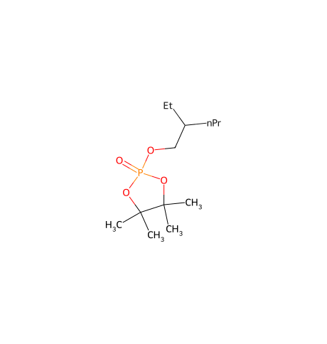 CCCC(CC)COP1(=O)OC(C)(C)C(C)(C)O1